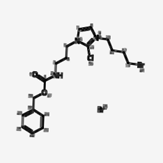 O=C(NCCCn1cc[n+](CCCCBr)c1Cl)OCc1ccccc1.[Br-]